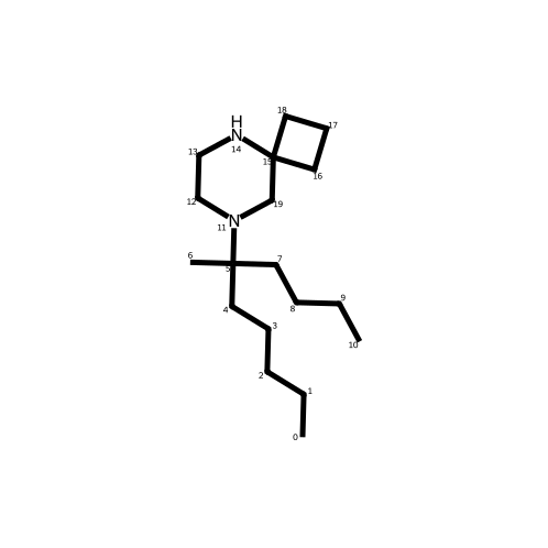 CCCCCC(C)(CCCC)N1CCNC2(CCC2)C1